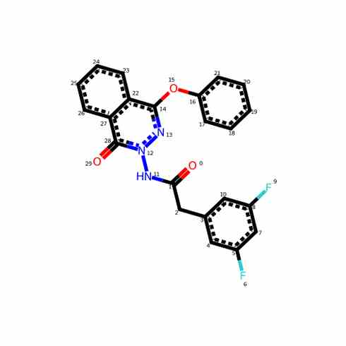 O=C(Cc1cc(F)cc(F)c1)Nn1nc(Oc2ccccc2)c2ccccc2c1=O